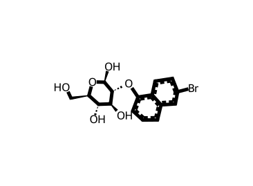 OC[C@H]1O[C@@H](O)[C@H](Oc2cccc3cc(Br)ccc23)[C@@H](O)[C@@H]1O